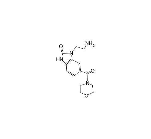 NCCn1c(=O)[nH]c2ccc(C(=O)N3CCOCC3)cc21